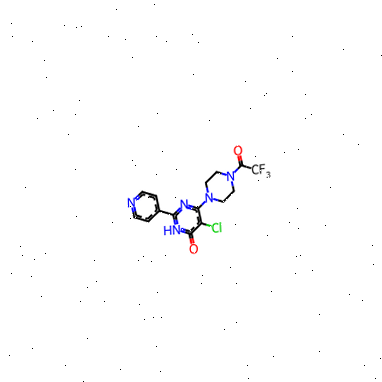 O=C(N1CCN(c2nc(-c3ccncc3)[nH]c(=O)c2Cl)CC1)C(F)(F)F